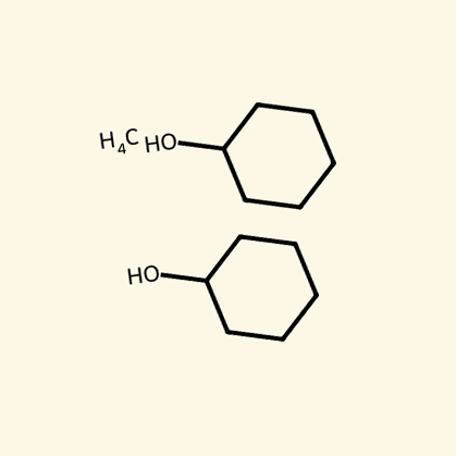 C.OC1CCCCC1.OC1CCCCC1